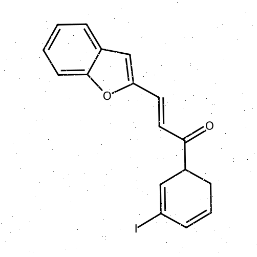 O=C(/C=C/c1cc2ccccc2o1)C1C=C(I)C=CC1